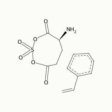 C=Cc1ccccc1.N[C@H]1CCC(=O)OS(=O)(=O)OC1=O